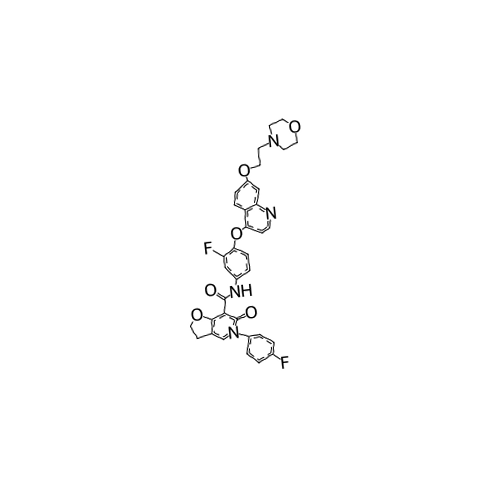 O=C(Nc1ccc(Oc2ccnc3cc(OCCN4CCOCC4)ccc23)c(F)c1)c1c2c(cn(-c3ccc(F)cc3)c1=O)CCO2